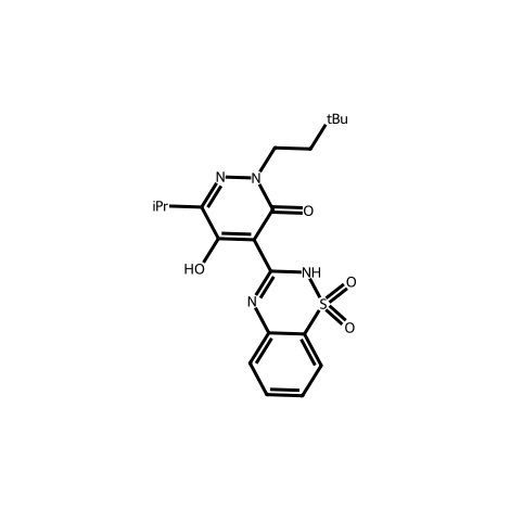 CC(C)c1nn(CCC(C)(C)C)c(=O)c(C2=Nc3ccccc3S(=O)(=O)N2)c1O